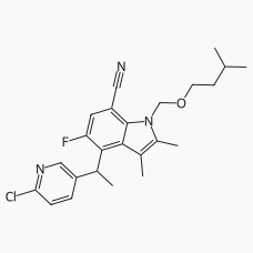 Cc1c(C)n(COCCC(C)C)c2c(C#N)cc(F)c(C(C)c3ccc(Cl)nc3)c12